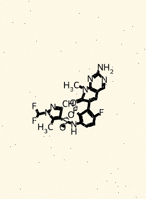 Cc1nn(C(F)F)c(C)c1S(=O)(=O)Nc1ccc(F)c(-c2cc3cnc(N)nc3n(C)c2=O)c1F